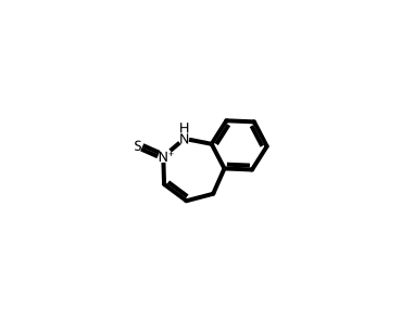 S=[N+]1C=CCc2ccccc2N1